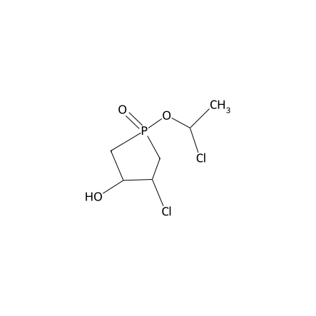 CC(Cl)OP1(=O)CC(O)C(Cl)C1